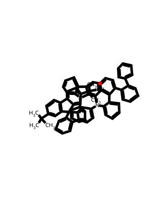 CC(C)(C)c1ccc2c(c1)C1(c3ccccc3-c3ccc(N(c4ccccc4-c4ccccc4-c4ccccc4-c4ccccc4)c4cccc5c6ccccc6n(-c6ccccc6)c45)cc31)c1cc(C(C)(C)C)ccc1-2